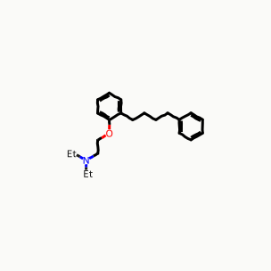 CCN(CC)CCOc1ccccc1CCCCc1ccccc1